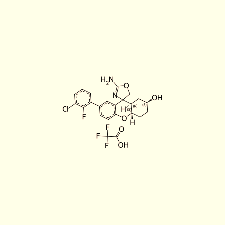 NC1=NC2(CO1)c1cc(-c3cccc(Cl)c3F)ccc1O[C@H]1CC[C@H](O)C[C@@H]12.O=C(O)C(F)(F)F